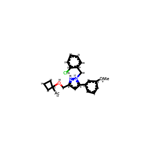 COc1cccc(-c2cc(COC3(C(C)=O)CCC3)nn2Cc2ccccc2Cl)c1